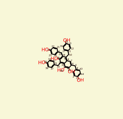 Oc1ccc(Cc2cc3c(Cc4ccc(O)cc4)c(Cc4ccc(O)cc4)c(O)c(Cc4ccc(O)cc4)c3c(O)c2O)cc1